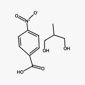 CC(CO)CO.O=C(O)c1ccc([N+](=O)[O-])cc1